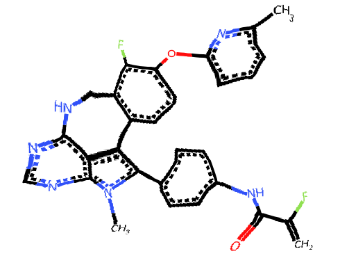 C=C(F)C(=O)Nc1ccc(-c2c3c4c(ncnc4n2C)NCc2c-3ccc(Oc3cccc(C)n3)c2F)cc1